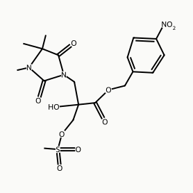 CN1C(=O)N(CC(O)(COS(C)(=O)=O)C(=O)OCc2ccc([N+](=O)[O-])cc2)C(=O)C1(C)C